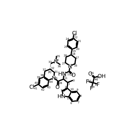 CC(c1c[nH]c2ccccc12)C(NC(=O)N1CCC(c2ccc(Cl)cc2)CC1)C(=O)N1C[C@@H](CN(C)C)Cc2cc(Cl)ccc21.O=C(O)C(F)(F)F